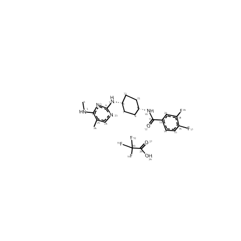 CNc1nc(N[C@H]2CC[C@@H](NC(=O)c3ccc(F)c(F)c3)CC2)ncc1C.O=C(O)C(F)(F)F